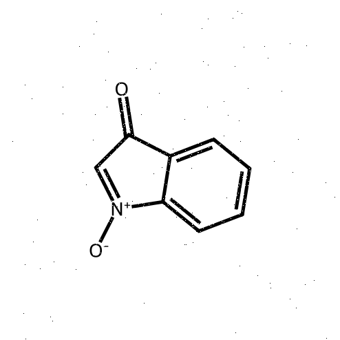 O=C1C=[N+]([O-])c2ccccc21